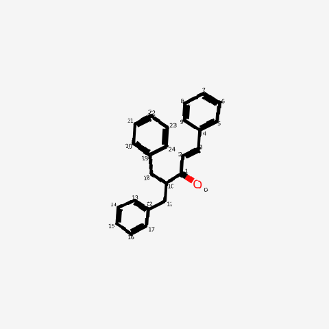 O=C(C=Cc1ccccc1)C(Cc1ccccc1)Cc1ccccc1